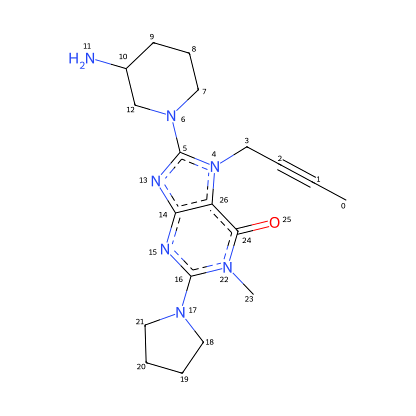 CC#CCn1c(N2CCCC(N)C2)nc2nc(N3CCCC3)n(C)c(=O)c21